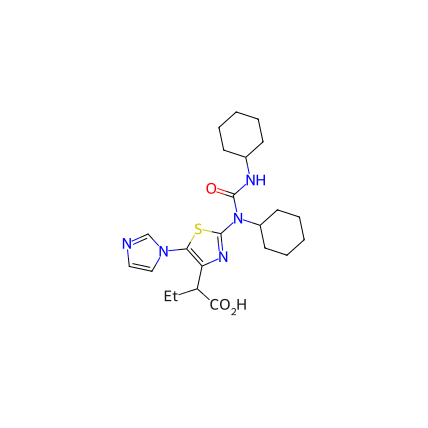 CCC(C(=O)O)c1nc(N(C(=O)NC2CCCCC2)C2CCCCC2)sc1-n1ccnc1